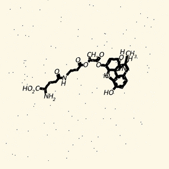 CC(OC(=O)CCNC(=O)CCC(N)C(=O)O)C(=O)OC1=CC[C@@]2(O)[C@H]3Cc4ccc(O)c5c4[C@@]2(CCN3C)[C@H]1O5